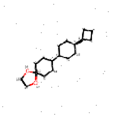 C1CC(=C2CCC(C3CCC4(CC3)OCCO4)CC2)C1